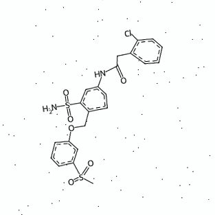 CS(=O)(=O)c1cccc(OCc2ccc(NC(=O)Cc3ccccc3Cl)cc2S(N)(=O)=O)c1